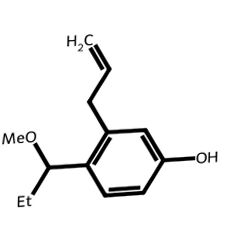 C=CCc1cc(O)ccc1C(CC)OC